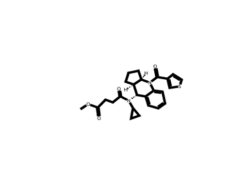 COC(=O)CCC(=O)N(C1CC1)[C@H]1c2ccccc2N(C(=O)c2ccsc2)[C@@H]2CCC[C@@H]21